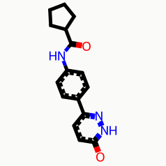 O=C(Nc1ccc(-c2ccc(=O)[nH]n2)cc1)C1CCCC1